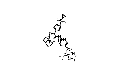 CC(C)(C)OC(=O)c1ccc(NC(=O)C(OC2C3CC4CC(C3)CC2C4)c2ccc(S(=O)(=O)C3CC3)cc2)nc1